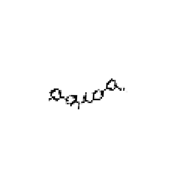 Cc1cc(-c2ccc(CC(=O)Nc3cnc(-c4cccc(F)c4)nc3)cc2)ccn1